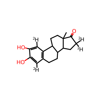 [2H]c1c(O)c(O)c([2H])c2c1CCC1C2CCC2(C)C(=O)C([2H])([2H])CC12